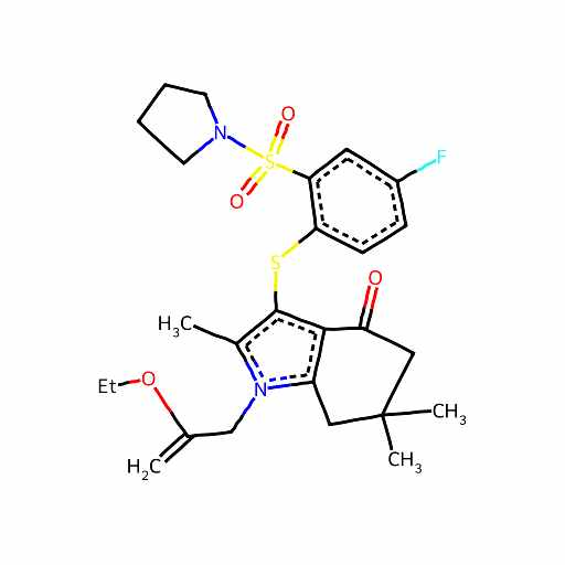 C=C(Cn1c(C)c(Sc2ccc(F)cc2S(=O)(=O)N2CCCC2)c2c1CC(C)(C)CC2=O)OCC